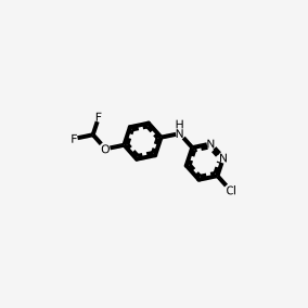 FC(F)Oc1ccc(Nc2ccc(Cl)nn2)cc1